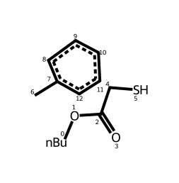 CCCCOC(=O)CS.Cc1ccccc1